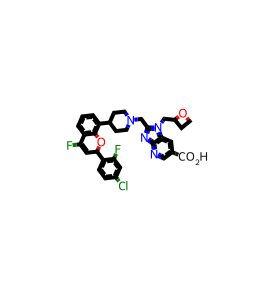 O=C(O)c1cnc2nc(CN3CCC(c4cccc5c4OC(c4ccc(Cl)cc4F)C=C5F)CC3)n(CC3CCO3)c2c1